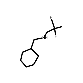 CC(F)(F)CNCC1CCCCC1